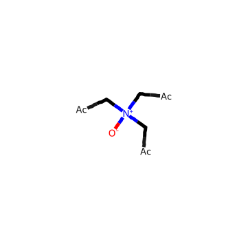 CC(=O)C[N+]([O-])(CC(C)=O)CC(C)=O